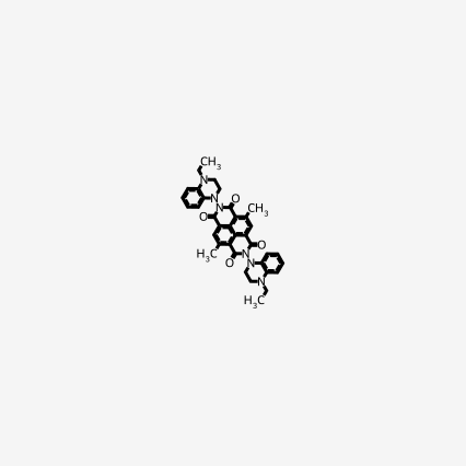 CCN1CCN(N2C(=O)c3cc(C)c4c5c(cc(C)c(c35)C2=O)C(=O)N(N2CCN(CC)c3ccccc32)C4=O)c2ccccc21